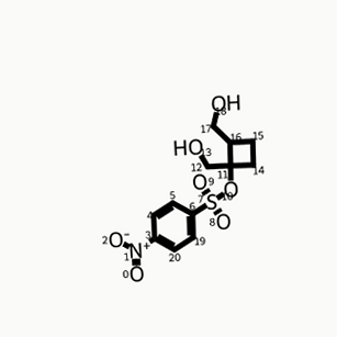 O=[N+]([O-])c1ccc(S(=O)(=O)OC2(CO)CCC2CO)cc1